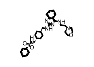 O=S(=O)(NC[C@H]1CC[C@H](CNc2nc(NCCN3CCOCC3)c3ccccc3n2)CC1)c1ccccc1